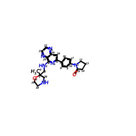 CC1(CNc2nc(-c3ccc(N4CCCC4=O)cc3)cc3nccnc23)CNCCO1